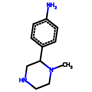 CN1CCNCC1c1ccc(N)cc1